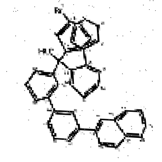 OC(c1cccc(Br)c1)(c1cccc(-c2cccc(-c3ccc4ccccc4c3)c2)c1)c1ccccc1C1=CCCC=C1